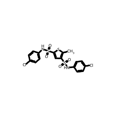 Cc1sc(S(=O)(=O)Nc2ccc(Cl)cc2)cc1S(=O)(=O)Nc1ccc(Cl)cc1